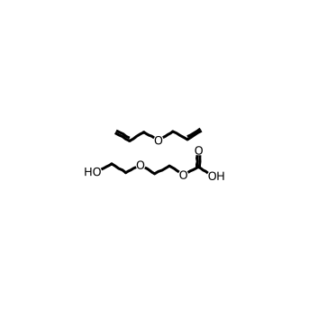 C=CCOCC=C.O=C(O)OCCOCCO